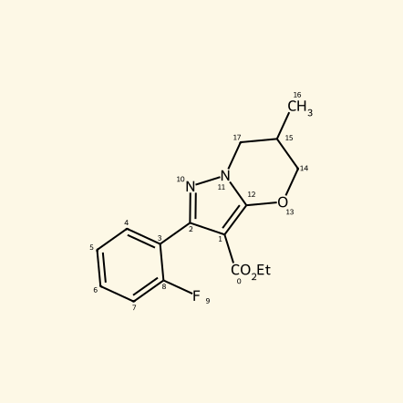 CCOC(=O)c1c(-c2ccccc2F)nn2c1OCC(C)C2